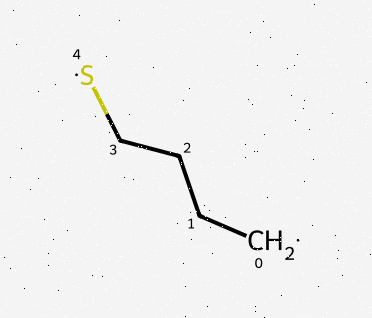 [CH2]CCC[S]